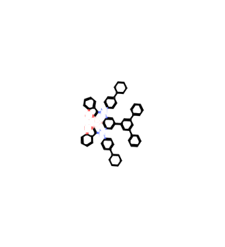 C1=CC2OC3=C(C2C=C1)N(c1ccc(C2CCCCC2)cc1)c1cc(-c2cc(-c4ccccc4)cc(-c4ccccc4)c2)cc2c1B3c1oc3ccccc3c1N2c1ccc(C2CCCCC2)cc1